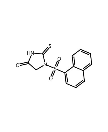 O=C1CN(S(=O)(=O)c2cccc3ccccc23)C(=S)N1